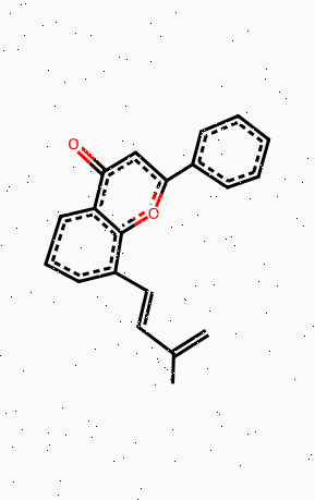 C=C(C)C=Cc1cccc2c(=O)cc(-c3ccccc3)oc12